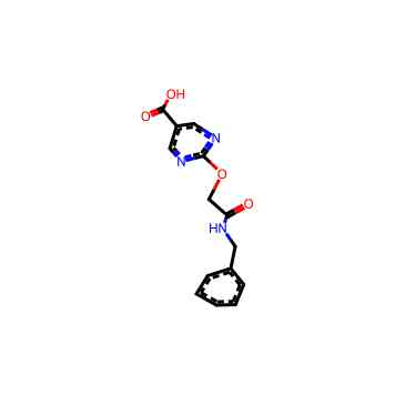 O=C(COc1ncc(C(=O)O)cn1)NCc1ccccc1